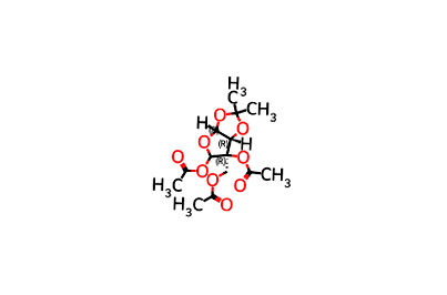 CC(=O)OC[C@]1(OC(C)=O)C(OC(C)=O)O[C@@H]2OC(C)(C)O[C@@H]21